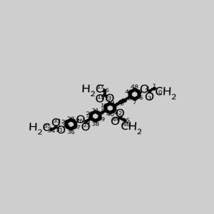 C=CC(=O)Oc1ccc(C#Cc2c(OC(=O)C=C)cc(-c3ccc(C(=O)Oc4ccc(OC(=O)C=C)cc4)cc3)cc2OC(=O)C=C)cc1